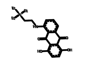 CC[N+](CC)(CC)CCNc1cccc2c1C(=O)c1c(O)ccc(O)c1C2=O